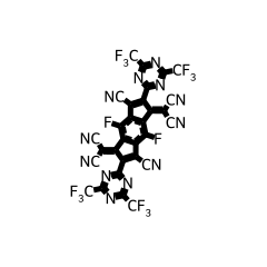 N#CC(C#N)=C1C(c2nc(C(F)(F)F)nc(C(F)(F)F)n2)=C(C#N)c2c(F)c3c(c(F)c21)C(C#N)=C(c1nc(C(F)(F)F)nc(C(F)(F)F)n1)C3=C(C#N)C#N